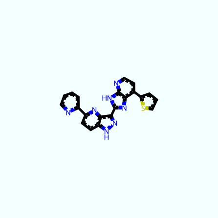 c1ccc(-c2ccc3[nH]nc(-c4nc5c(-c6cccs6)ccnc5[nH]4)c3n2)nc1